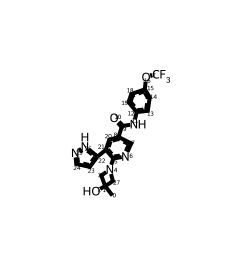 CC1(O)CN(c2ncc(C(=O)Nc3ccc(OC(F)(F)F)cc3)cc2-c2ccn[nH]2)C1